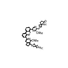 COc1nc(-c2cccc(-c3cccc(-c4cc5c(c(OC)n4)[C@@H](N4CC6(CN(C(C)=O)C6)C4)CC5)c3F)c2C)cnc1CN1CC2(CCC(=O)N2)C1